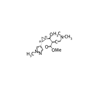 COC(=O)C(=C=CN(C)C)C(=O)[C@@H]1C[C@H]1c1cnn(C)c1